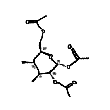 CC(=O)OC[C@H]1O[C@H](OC(C)=O)[C@H](OC(C)=O)[C@@H](C)[C@H]1C